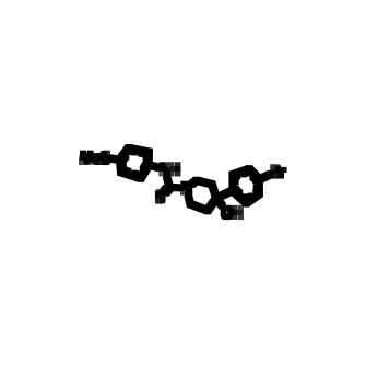 CSc1ccc(NC(=S)N2CCC(O)(c3ccc(Br)cc3)CC2)cc1